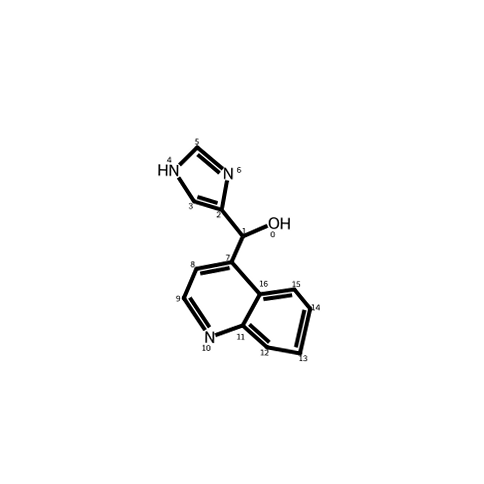 OC(c1c[nH]cn1)c1ccnc2ccccc12